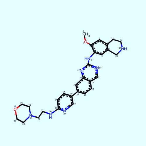 COc1cc2c(cc1Nc1ncc3ccc(-c4ccc(NCCN5CCOCC5)nc4)cc3n1)CNCC2